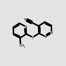 Cc1cccnc1Sc1nnccc1C#N